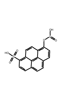 O=S(O)Oc1ccc2ccc3ccc(S(=O)(=O)O)c4ccc1c2c34